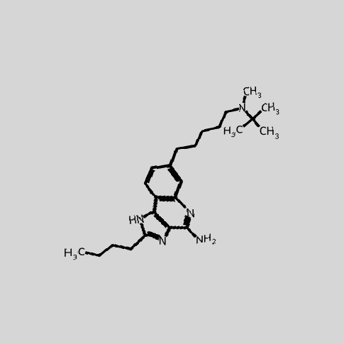 CCCCc1nc2c(N)nc3cc(CCCCCN(C)C(C)(C)C)ccc3c2[nH]1